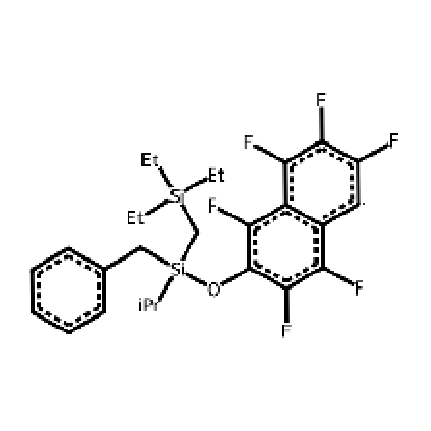 CC[Si](CC)(CC)C[Si](Cc1ccccc1)(Oc1c(F)c(F)c2[c]c(F)c(F)c(F)c2c1F)C(C)C